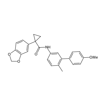 COc1ccc(-c2cc(NC(=O)C3(c4ccc5c(c4)OCO5)CC3)ccc2C)cc1